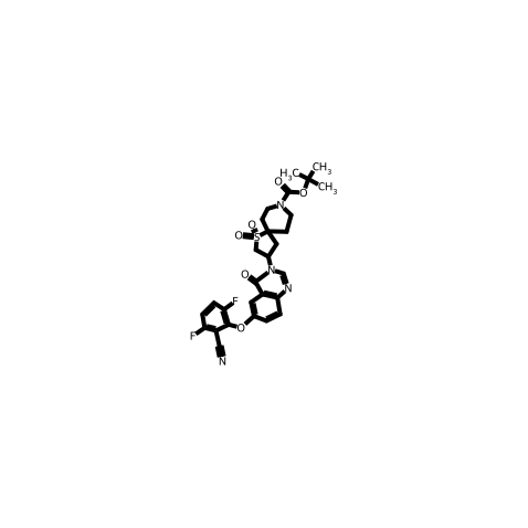 CC(C)(C)OC(=O)N1CCC2(CC1)CC(n1cnc3ccc(Oc4c(F)ccc(F)c4C#N)cc3c1=O)CS2(=O)=O